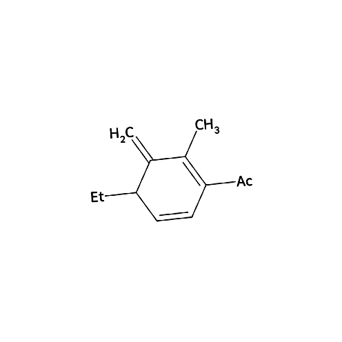 C=C1C(C)=C(C(C)=O)C=CC1CC